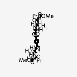 COC(=O)N[C@H](C(=O)CN[C@H](C)c1ncc(C2OCC(c3ccc(-c4cnc([C@H](C)CNC(=O)[C@@H](NC(=O)OC)C(C)C)[nH]4)cc3)CO2)[nH]1)C(C)C